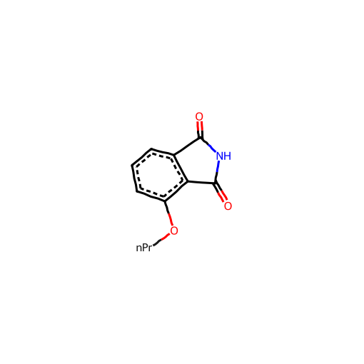 CCCOc1cccc2c1C(=O)NC2=O